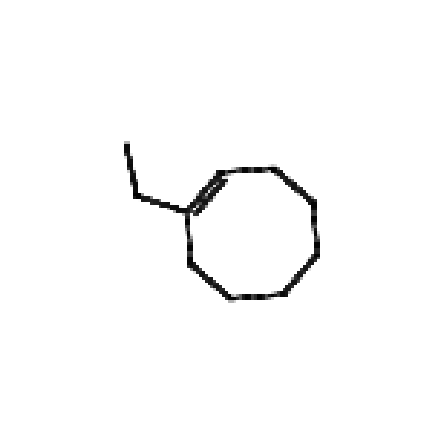 CCC1=CCCCCCC1